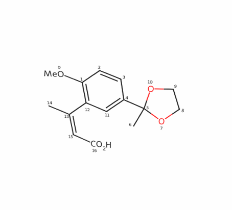 COc1ccc(C2(C)OCCO2)cc1/C(C)=C\C(=O)O